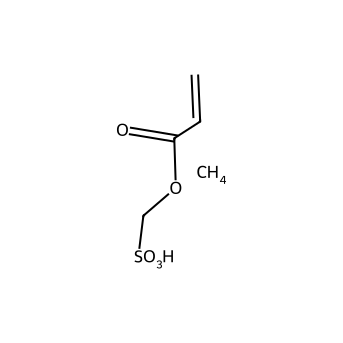 C.C=CC(=O)OCS(=O)(=O)O